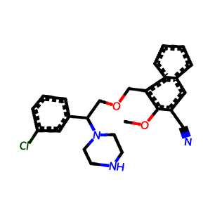 COc1c(C#N)cc2ccccc2c1COCC(c1cccc(Cl)c1)N1CCNCC1